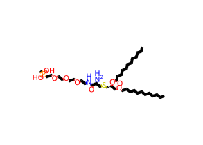 C=P(O)(O)CCOCCOCCOCCNC(=O)[C@@H](N)CSC[C@@H](COCCCCCCCCCCCC)OC(=O)CCCCCCCCCCC